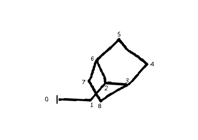 ICC1C2CCC1CC2